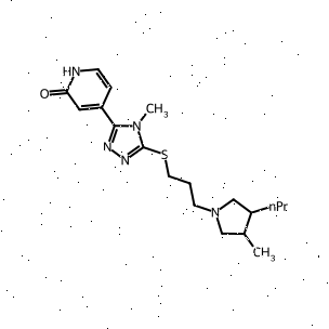 CCCC1CN(CCCSc2nnc(-c3cc[nH]c(=O)c3)n2C)CC1C